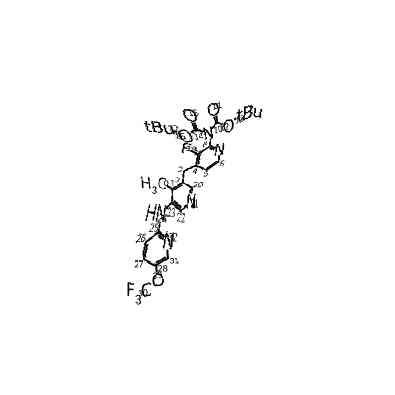 Cc1c(Cc2ccnc(N(C(=O)OC(C)(C)C)C(=O)OC(C)(C)C)c2F)cncc1Nc1ccc(OC(F)(F)F)cn1